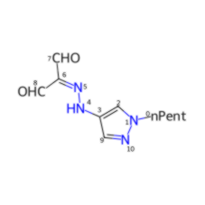 CCCCCn1cc(NN=C(C=O)C=O)cn1